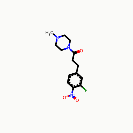 CN1CCN(C(=O)CCc2ccc([N+](=O)[O-])c(F)c2)CC1